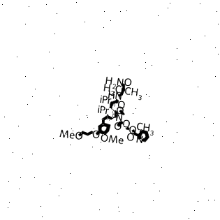 COCCCOc1cc(C[C@@H](C[C@H]2[C@H](C[C@H](C(=O)NCC(C)(C)C(N)=O)C(C)C)OCN2C(=O)OCOC(=O)c2ncccc2C)C(C)C)ccc1OC